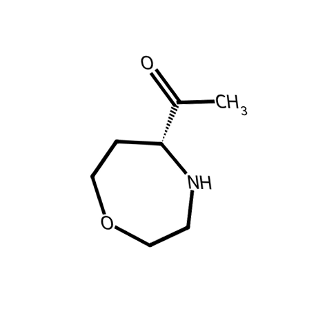 CC(=O)[C@H]1CCOCCN1